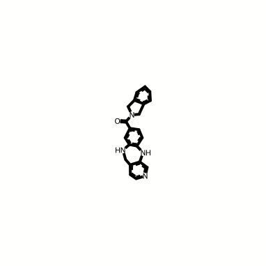 O=C(c1ccc2c(c1)NCc1ccncc1N2)N1Cc2ccccc2C1